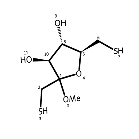 COC1(CS)O[C@H](CS)[C@@H](O)[C@@H]1O